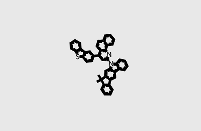 CC1(C)c2ccccc2-c2cc3c4ccccc4n(-c4cc(-c5ccc6sc7ccccc7c6c5)c5ccc6ccccc6c5n4)c3cc21